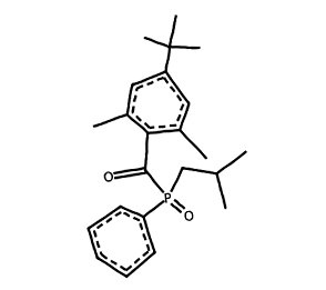 Cc1cc(C(C)(C)C)cc(C)c1C(=O)P(=O)(CC(C)C)c1ccccc1